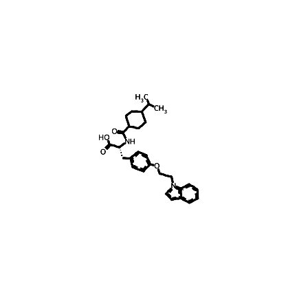 CC(C)C1CCC(C(=O)N[C@H](Cc2ccc(OCCn3ccc4ccccc43)cc2)C(=O)O)CC1